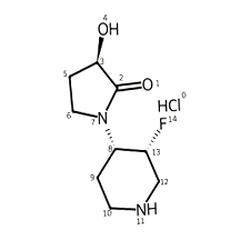 Cl.O=C1[C@H](O)CCN1[C@H]1CCNC[C@H]1F